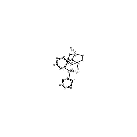 N[C@@H]1CC[C@H]2CC[C@H]1N2c1ccccc1Cc1ccccc1